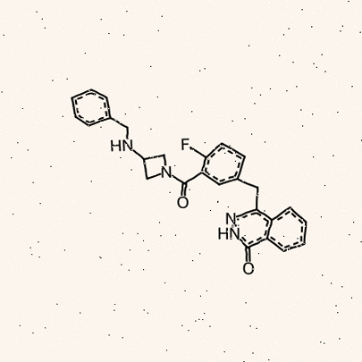 O=C(c1cc(Cc2n[nH]c(=O)c3ccccc23)ccc1F)N1CC(NCc2ccccc2)C1